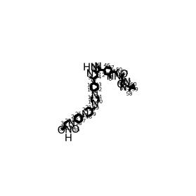 Cc1cc(-c2n[nH]c3ncc(-c4ccc(N5CCN(CC6CCN(c7ccc(N8CCC(=O)NC8=O)cc7)CC6)CC5)cc4)cc23)ccc1[C@@H](C)NC(=O)c1nc(C2(C)CC2)no1